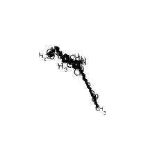 CCCCOC(=O)COCCCOCCCCCOc1c(Cl)cc(C(C)(C)c2ccc(OCc3ccnc(S(C)(=O)=O)n3)cc2)cc1C#N